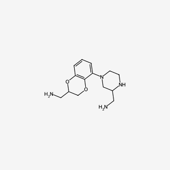 NCC1CN(c2cccc3c2OCC(CN)O3)CCN1